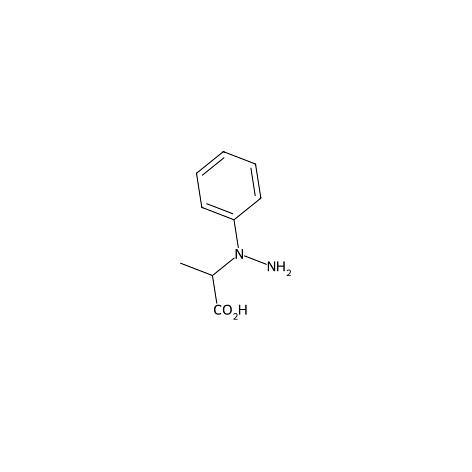 CC(C(=O)O)N(N)c1ccccc1